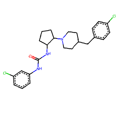 O=C(Nc1cccc(Cl)c1)NC1CCCC1N1CCC(Cc2ccc(Cl)cc2)CC1